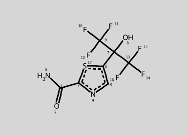 NC(=O)c1ncc(C(O)(C(F)(F)F)C(F)(F)F)s1